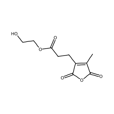 CC1=C(CCC(=O)OCCO)C(=O)OC1=O